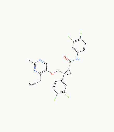 COCc1nc(C)ncc1OC[C@@]1(c2ccc(F)c(F)c2)C[C@H]1C(=O)Nc1ccc(F)c(F)c1